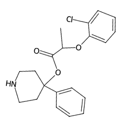 CC(Oc1ccccc1Cl)C(=O)OC1(c2ccccc2)CCNCC1